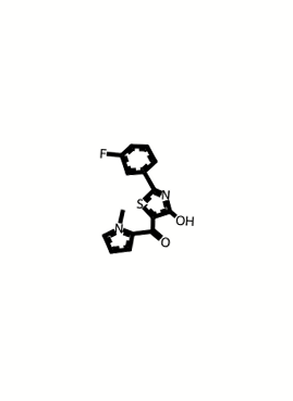 Cn1cccc1C(=O)c1sc(-c2cccc(F)c2)nc1O